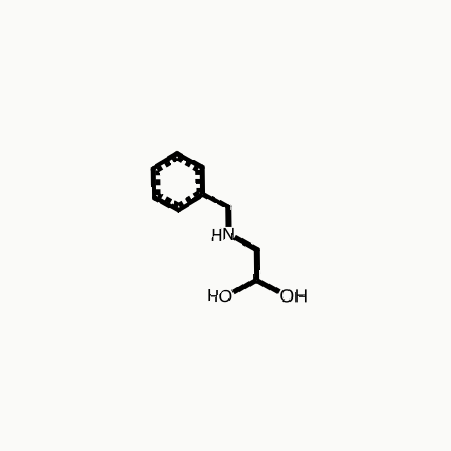 OC(O)CNCc1ccccc1